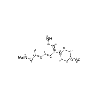 CNO/C(C)=C/C=C/C(=N\C=N)N1CCN(C(C)=O)CC1